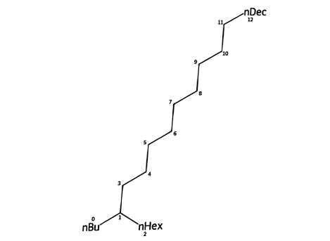 [CH2]CCCC(CCCCCC)CCCCCCCCCCCCCCCCCCC